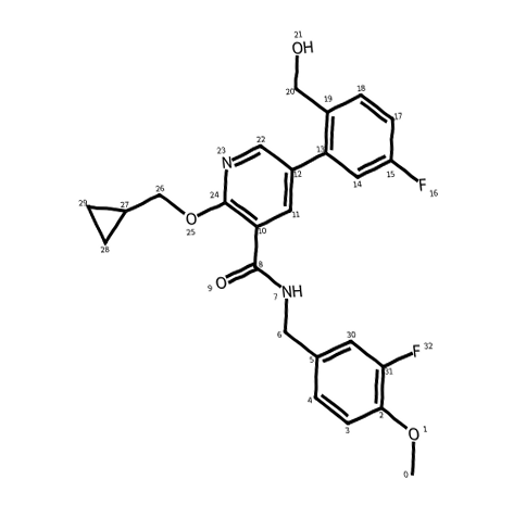 COc1ccc(CNC(=O)c2cc(-c3cc(F)ccc3CO)cnc2OCC2CC2)cc1F